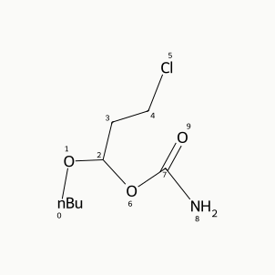 CCCCOC(CCCl)OC(N)=O